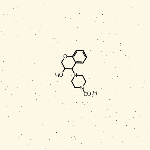 O=C(O)N1CCN(C2c3ccccc3OCC2O)CC1